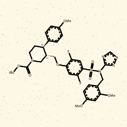 COc1ccc([C@@H]2CCN(C(=O)OC(C)(C)C)C[C@H]2COc2cc(F)c(S(=O)(=O)N(Cc3ccc(OC)cc3OC)c3ncns3)cc2F)cc1